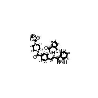 Cc1ccsc1C(=O)Nc1cc(C(=O)N2CCN(C(=O)OC(C)(C)C)CC2)ccc1C=Cc1n[nH]c2ccccc12